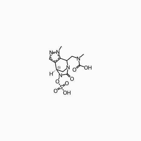 CN(CC1c2c(cnn2C)[C@H]2CN1C(=O)N2OS(=O)(=O)O)C(=O)O